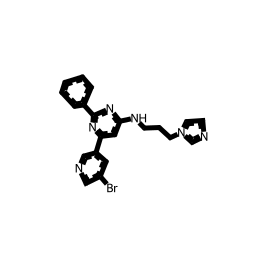 Brc1cncc(-c2cc(NCCCn3ccnc3)nc(-c3ccccc3)n2)c1